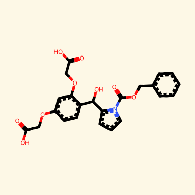 O=C(O)COc1ccc(C(O)c2cccn2C(=O)OCc2ccccc2)c(OCC(=O)O)c1